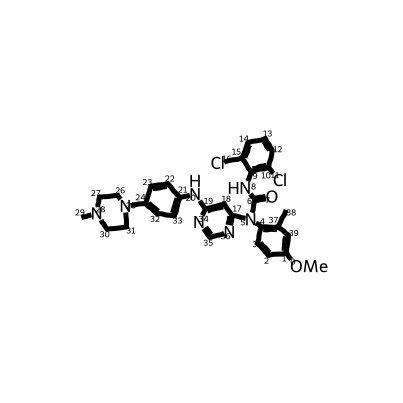 COc1ccc(N(C(=O)Nc2c(Cl)cccc2Cl)c2cc(Nc3ccc(N4CCN(C)CC4)cc3)ncn2)c(C)c1